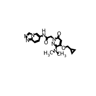 CN(C)c1nn(CC(=O)Nc2ccc3nncn3c2)c(=O)cc1OCC1CC1